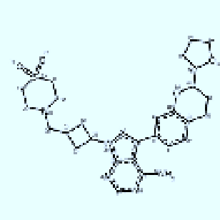 Nc1ncnc2c1c(-c1ccc3c(c1)OC(C1CCCO1)CC3)cn2C1CC(CN2CCS(=O)(=O)CC2)C1